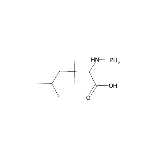 CC(C)CC(C)(C)C(NP)C(=O)O